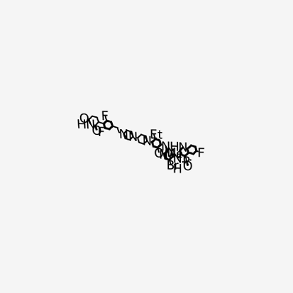 CCc1cc(Nc2ncc(Br)c(Nc3cnc4ccc(F)cc4c3P(C)(C)=O)n2)c(OC)cc1N1CCC(N2CCN(CCc3cc(F)c(C4CCC(=O)NC4=O)c(F)c3)CC2)CC1